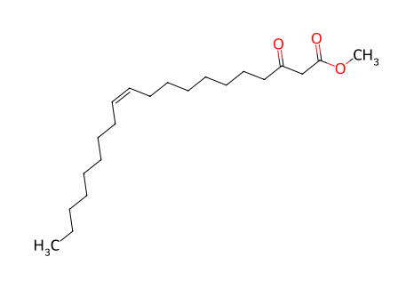 CCCCCCCC/C=C\CCCCCCCC(=O)CC(=O)OC